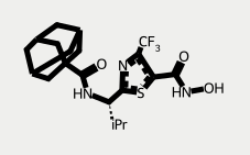 CC(C)[C@H](NC(=O)C12CC3CC(CC(C3)C1)C2)c1nc(C(F)(F)F)c(C(=O)NO)s1